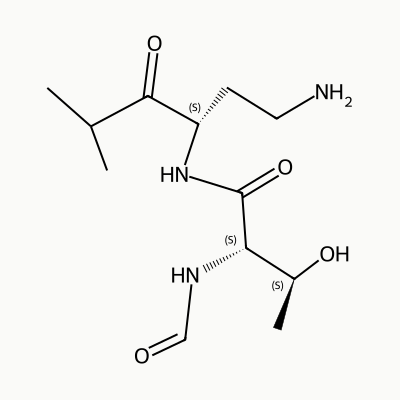 CC(C)C(=O)[C@H](CCN)NC(=O)[C@@H](NC=O)[C@H](C)O